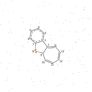 [C]1=C2c3ccccc3SC2C=CC=C1